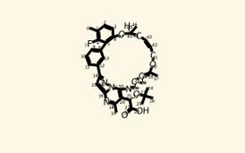 Cc1ccc2c(c1F)-c1cccc(c1)-c1cc3nc(C)c([C@H](OC(C)(C)C)C(=O)O)c(n3n1)N1CCC(C)(CC1)OCC=CC[C@H](C)O2